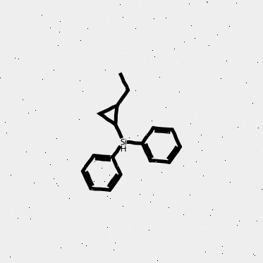 CCC1CC1[SiH](c1ccccc1)c1ccccc1